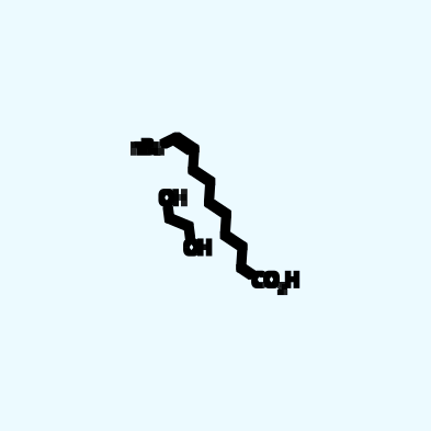 CCCC/C=C\CCCCCCCC(=O)O.OCCO